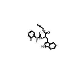 Cc1ccccc1NC(=O)NC(Cc1c[nH]c2ccccc12)C(=O)NCC#N